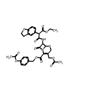 CCOC(=O)C(C(=O)NC1C(=O)N2C(C(=O)OCc3ccc(OC(C)=O)cc3)=C(COC(C)=O)CSC12)c1ccc2c(c1)CCO2